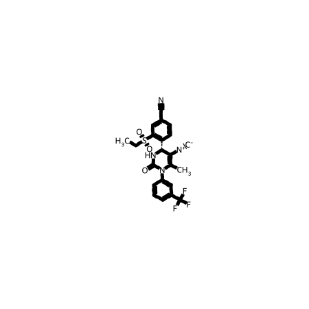 [C-]#[N+]C1=C(C)N(c2cccc(C(F)(F)F)c2)C(=O)N[C@@H]1c1ccc(C#N)cc1S(=O)(=O)CC